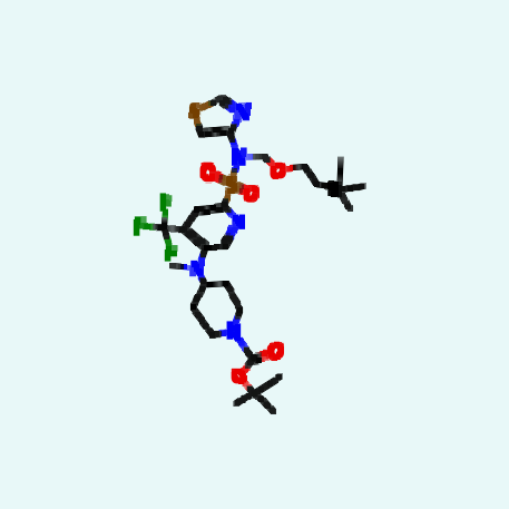 CN(c1cnc(S(=O)(=O)N(COCC[Si](C)(C)C)c2cscn2)cc1C(F)(F)F)C1CCN(C(=O)OC(C)(C)C)CC1